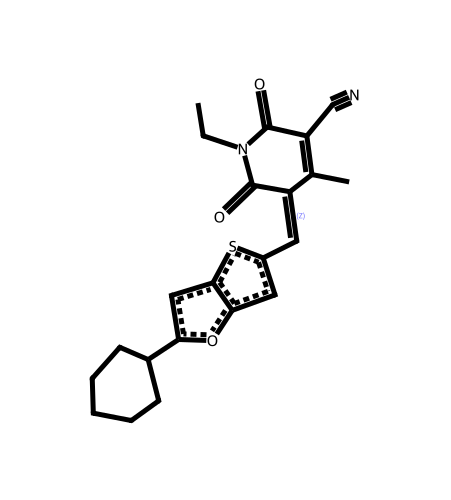 CCN1C(=O)C(C#N)=C(C)/C(=C/c2cc3oc(C4CCCCC4)cc3s2)C1=O